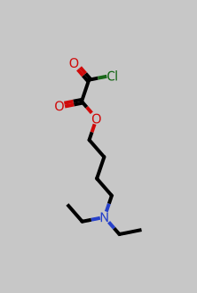 CCN(CC)CCCCOC(=O)C(=O)Cl